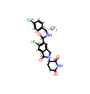 O=C1CCC(N2Cc3cc(C(=O)N[C@H](c4ccc(Cl)cc4)C(F)(F)F)c(F)cc3C2=O)C(=O)N1